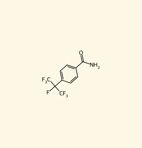 NC(=O)c1ccc(C(F)(C(F)(F)F)C(F)(F)F)cc1